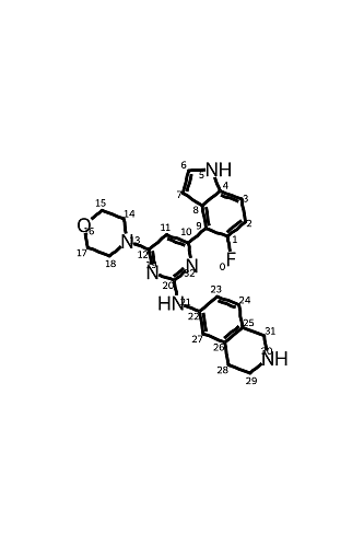 Fc1ccc2[nH]ccc2c1-c1cc(N2CCOCC2)nc(Nc2ccc3c(c2)CCNC3)n1